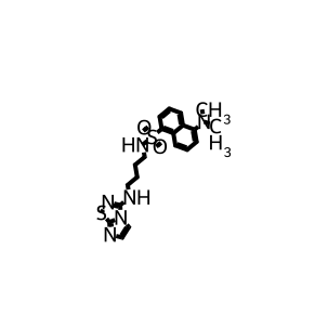 CN(C)c1cccc2c(S(=O)(=O)NCCCCNc3nsc4nccn34)cccc12